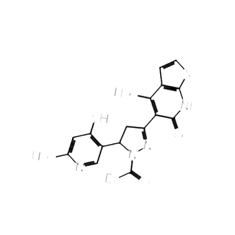 CCC(=O)N1N=C(c2c(C)c3ccsc3[nH]c2=O)CC1c1cnc(C)cc1C